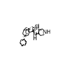 O=C(N[C@@H]1CCNC[C@@H]1F)C12CC3C[C@](c4ccccc4)(C1)C[C@@]2(CCCl)C3